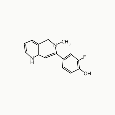 CN1CC2=CC=CNC2C=C1c1ccc(O)c(F)c1